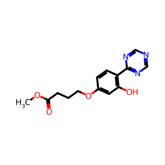 COC(=O)CCCOc1ccc(-c2ncncn2)c(O)c1